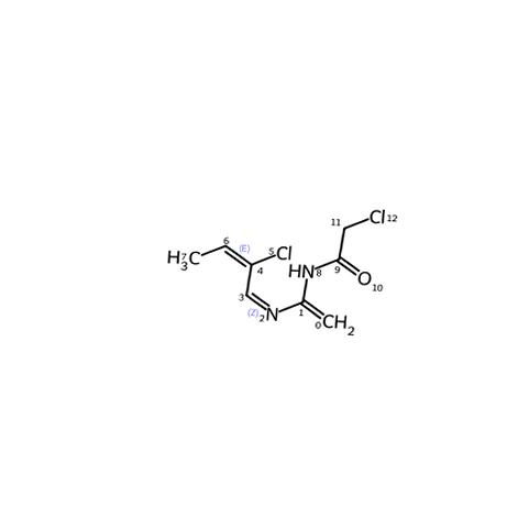 C=C(/N=C\C(Cl)=C/C)NC(=O)CCl